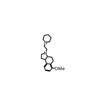 COc1cccc2c1CCC1C2CCN1CCN1CCCCC1